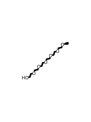 C#COCCOCCOCCOCCOCCOCCO